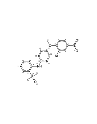 COc1ccc([N+](=O)[O-])cc1Nc1nncc(Nc2ccccc2P(C)(C)=O)n1